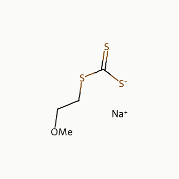 COCCSC(=S)[S-].[Na+]